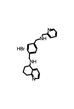 Br.c1ccc(CNCc2ccc(CNC3CCCc4ncccc43)cc2)nc1